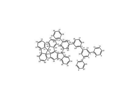 c1ccc(-c2cc(-c3ccccc3)cc(-c3cccc(-c4nc(-c5ccccc5)nc(-n5c6ccccc6c6ccc7c(c65)-c5ccccc5C75c6ccccc6-c6ccccc65)n4)c3)c2)cc1